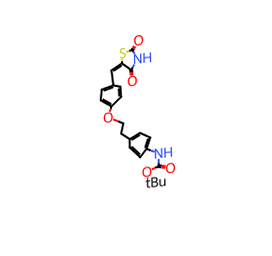 CC(C)(C)OC(=O)Nc1ccc(CCOc2ccc(C=C3SC(=O)NC3=O)cc2)cc1